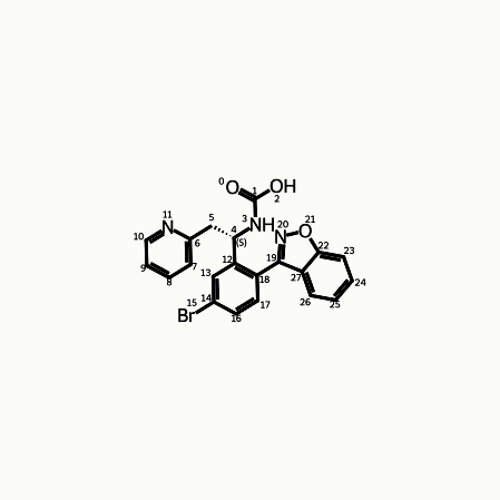 O=C(O)N[C@@H](Cc1ccccn1)c1cc(Br)ccc1-c1noc2ccccc12